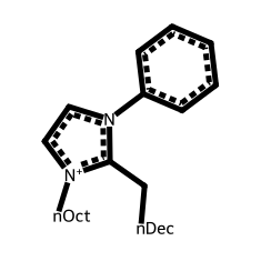 CCCCCCCCCCCc1n(-c2ccccc2)cc[n+]1CCCCCCCC